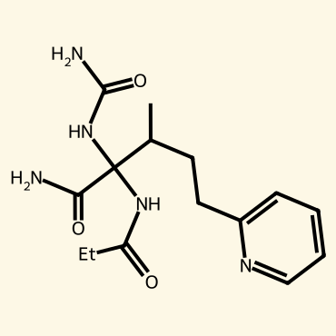 CCC(=O)NC(NC(N)=O)(C(N)=O)C(C)CCc1ccccn1